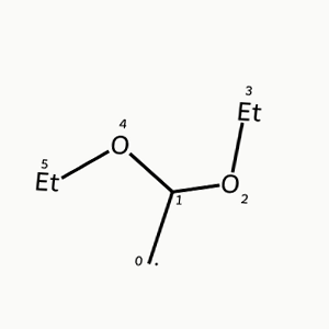 [CH2]C(OCC)OCC